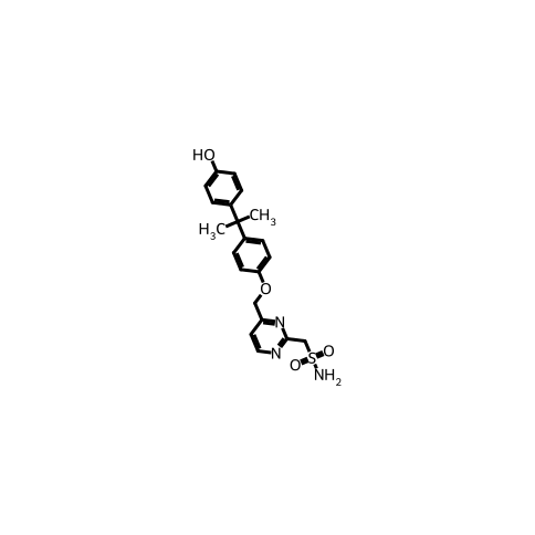 CC(C)(c1ccc(O)cc1)c1ccc(OCc2ccnc(CS(N)(=O)=O)n2)cc1